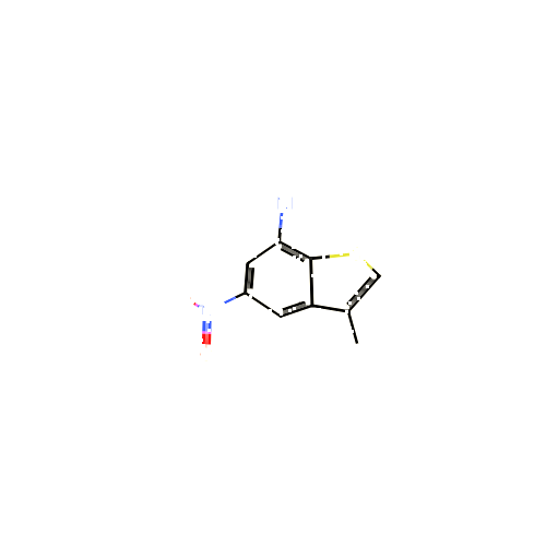 Cc1csc2c(N)cc([N+](=O)[O-])cc12